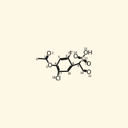 CC(=O)Oc1cc(F)c(C([C]=O)S(=O)(=O)O)cc1Cl